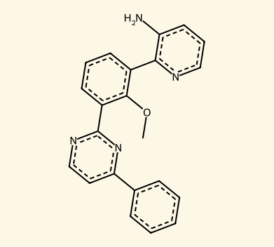 COc1c(-c2nccc(-c3ccccc3)n2)cccc1-c1ncccc1N